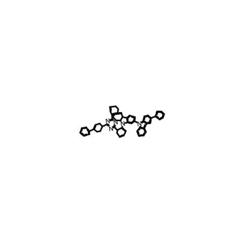 C1=CCC(c2nc(C3=CCCC=C3)nc(C3CC=C(c4ccccc4)CC3)n2)C(N2c3cc(-n4c5ccccc5c5cc(-c6ccccc6)ccc54)ccc3C3C=CCCC32)=C1